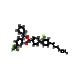 CCCCCc1ccc(-c2ccc(C(=O)OC(c3ccccc3)c3ccc(C(F)(F)F)cc3)cc2)c(F)c1